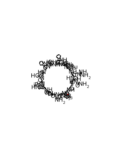 CCCC[C@H]1C(=O)N(C)[C@@H](CCCC)C(=O)N[C@@H](CCCNC(=N)N)C(=O)N[C@H](C(=O)NCC(N)=O)CSCC(=O)N[C@@H](Cc2ccccn2)C(=O)N(C)[C@@H](C)C(=O)NC(CC(N)=O)C(=O)N2CCC[C@H]2C(=O)N[C@@H](Cc2c[nH]cn2)C(=O)N[C@@H](CC(C)C)C(=O)N2C[C@H](O)CC2C(=O)N[C@@H](Cc2c[nH]c3ccccc23)C(=O)N[C@@H](CO)C(=O)N[C@@H](Cc2c[nH]c3ccccc23)C(=O)N1C